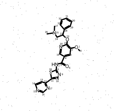 COc1cc(C(=O)Nc2nnc(-c3ccncn3)s2)cnc1OC(CN(C)C)c1ccccc1